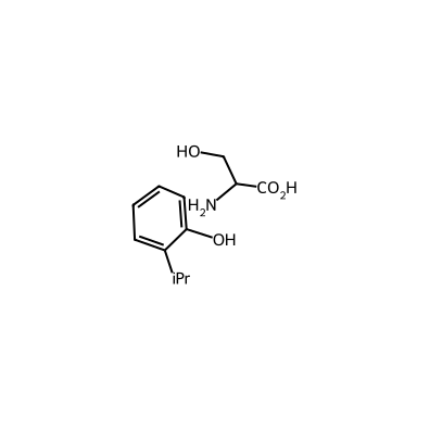 CC(C)c1ccccc1O.NC(CO)C(=O)O